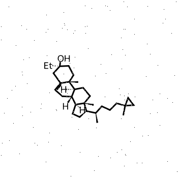 CC[C@]1(O)CC[C@@]2(C)C(=CC[C@H]3[C@@H]4CC[C@H]([C@H](C)CCCC5(C)CC5)[C@@]4(C)CC[C@@H]32)C1